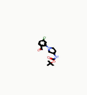 CC(C)(C)OC(=O)NC1CCN(c2cc(Cl)ccc2C=O)C1